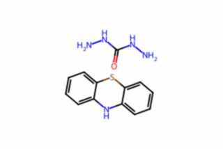 NNC(=O)NN.c1ccc2c(c1)Nc1ccccc1S2